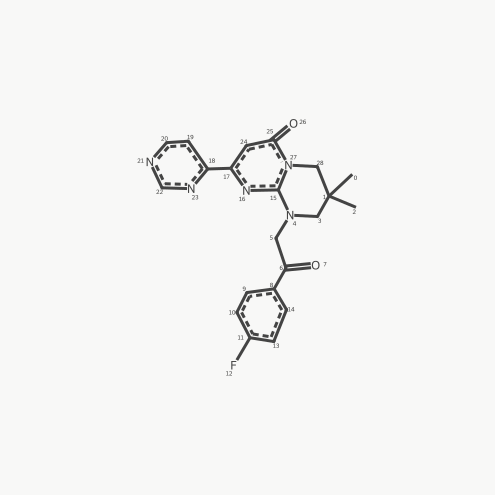 CC1(C)CN(CC(=O)c2ccc(F)cc2)c2nc(-c3ccncn3)cc(=O)n2C1